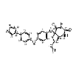 CCOCCC1(Oc2ccc(Oc3ccc(-n4cncn4)cc3)cc2)C(=O)NC(=O)NC1=O